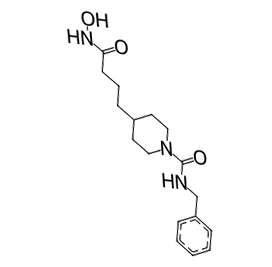 O=C(CCCC1CCN(C(=O)NCc2ccccc2)CC1)NO